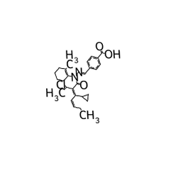 CC/C=C\C(=C(\C(=O)N(/N=C/c1ccc(C(=O)O)cc1)C1=C(C)CCCC1)C(C)Cl)C1CC1